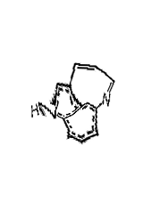 C1=Cc2c[nH]c3cccc(c23)N=C1